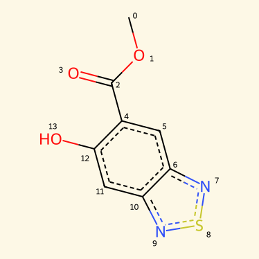 COC(=O)c1cc2nsnc2cc1O